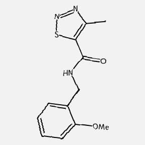 COc1ccccc1CNC(=O)c1snnc1C